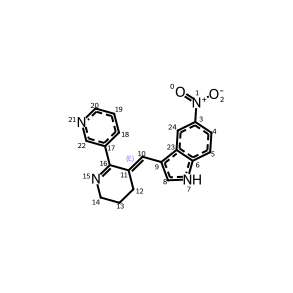 O=[N+]([O-])c1ccc2[nH]cc(/C=C3\CCCN=C3c3cccnc3)c2c1